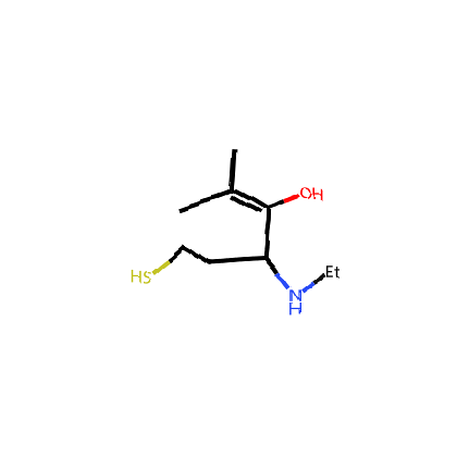 CCNC(CCS)C(O)=C(C)C